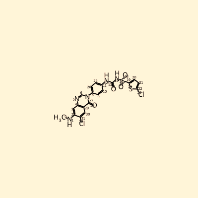 CNc1cc2ncn(-c3ccc(NC(=O)NS(=O)(=O)c4ccc(Cl)s4)cc3)c(=O)c2cc1Cl